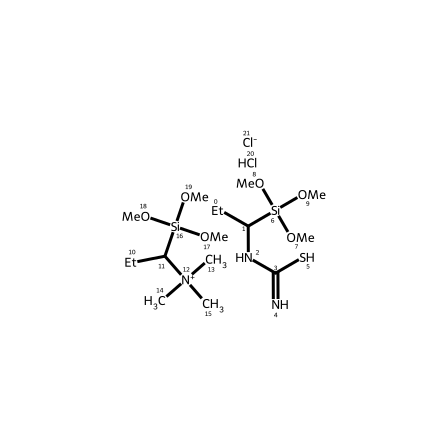 CCC(NC(=N)S)[Si](OC)(OC)OC.CCC([N+](C)(C)C)[Si](OC)(OC)OC.Cl.[Cl-]